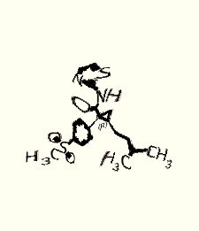 CC(C)CC[C@@H]1C[C@]1(C(=O)Nc1nccs1)c1ccc(S(C)(=O)=O)cc1